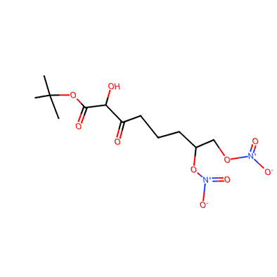 CC(C)(C)OC(=O)C(O)C(=O)CCCC(CO[N+](=O)[O-])O[N+](=O)[O-]